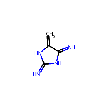 C=C1NC(=N)NC1=N